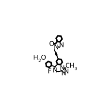 Cc1nnc2n1-c1ccc(C#CCn3cnc4ccccc4c3=O)cc1C(c1ccccc1F)=NC2.O